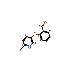 Cc1ccc(Oc2ccccc2C=O)cn1